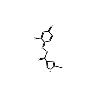 Cc1nc(C(=O)O/N=C2\C=CC(=O)C=C2Cl)c[nH]1